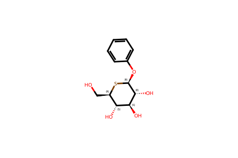 OC[C@H]1S[C@@H](Oc2ccccc2)[C@H](O)[C@@H](O)[C@@H]1O